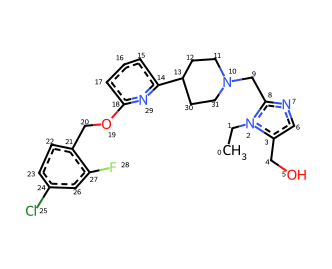 CCn1c(CO)cnc1CN1CCC(c2cccc(OCc3ccc(Cl)cc3F)n2)CC1